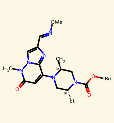 CC[C@@H]1CN(c2cc(=O)n(C)n3cc(C=NOC)nc23)[C@@H](C)CN1C(=O)OC(C)(C)C